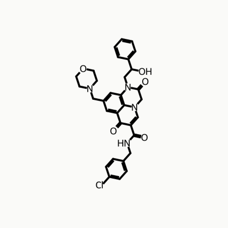 O=C(NCc1ccc(Cl)cc1)c1cn2c3c(cc(CN4CCOCC4)cc3c1=O)N(CC(O)c1ccccc1)C(=O)C2